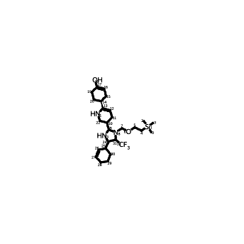 C[Si](C)(C)CCOCN1C(C2CC=C([C@@H]3CC=C(O)CC3)NC2)NC(C2C=CCCC2)C1C(F)(F)F